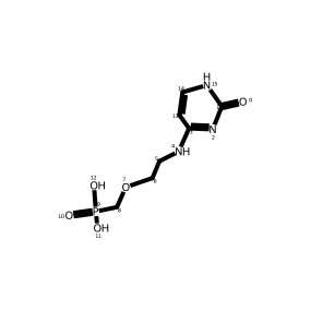 O=c1nc(NCCOCP(=O)(O)O)cc[nH]1